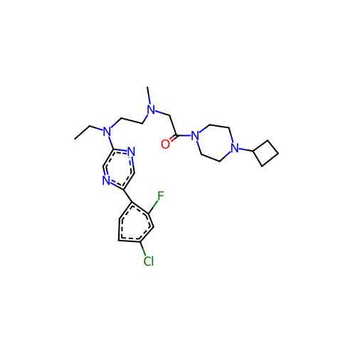 CCN(CCN(C)CC(=O)N1CCN(C2CCC2)CC1)c1cnc(-c2ccc(Cl)cc2F)cn1